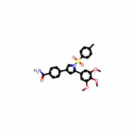 COc1cc(-c2cc(-c3ccc(C(N)=O)cc3)cn2S(=O)(=O)c2ccc(C)cc2)cc(OC)c1OC